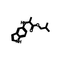 CC(C)COC(=O)C(C)Nc1ccc2[nH]ccc2c1